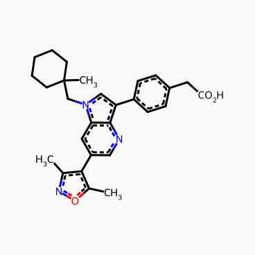 Cc1noc(C)c1-c1cnc2c(-c3ccc(CC(=O)O)cc3)cn(CC3(C)CCCCC3)c2c1